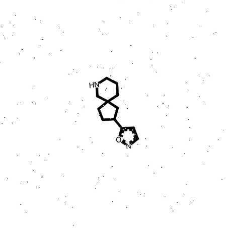 c1cc(C2CCC3(CCCNC3)C2)on1